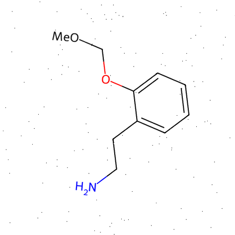 COCOc1ccccc1CCN